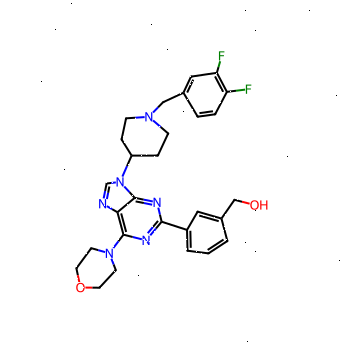 OCc1cccc(-c2nc(N3CCOCC3)c3ncn(C4CCN(Cc5ccc(F)c(F)c5)CC4)c3n2)c1